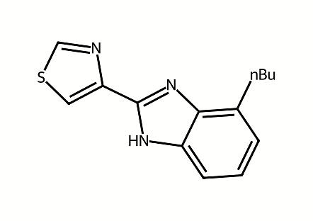 CCCCc1cccc2[nH]c(-c3cscn3)nc12